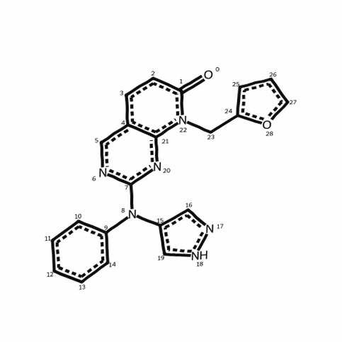 O=c1ccc2cnc(N(c3ccccc3)c3cn[nH]c3)nc2n1Cc1ccco1